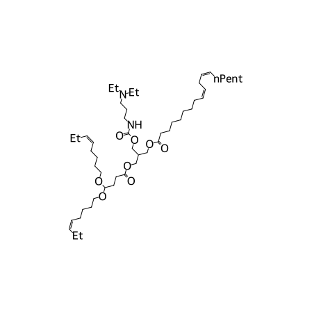 CC/C=C\CCCCOC(CCC(=O)OCC(COC(=O)CCCCCCC/C=C\C/C=C\CCCCC)COC(=O)NCCCN(CC)CC)OCCCC/C=C\CC